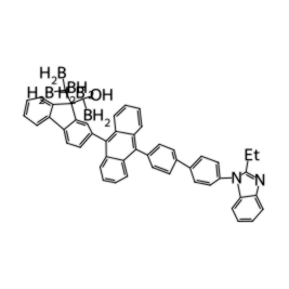 BC(B)(B)C1(C(B)(B)O)c2ccccc2-c2ccc(-c3c4ccccc4c(-c4ccc(-c5ccc(-n6c(CC)nc7ccccc76)cc5)cc4)c4ccccc34)cc21